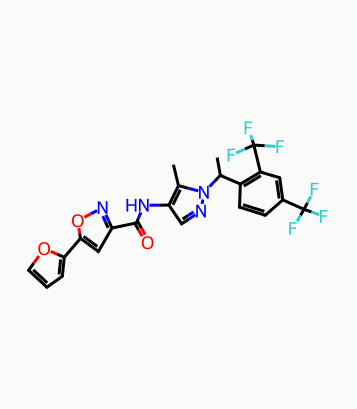 Cc1c(NC(=O)c2cc(-c3ccco3)on2)cnn1C(C)c1ccc(C(F)(F)F)cc1C(F)(F)F